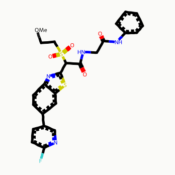 COCCS(=O)(=O)C(C(=O)NCC(=O)Nc1ccccc1)c1nc2ccc(-c3ccc(F)nc3)cc2s1